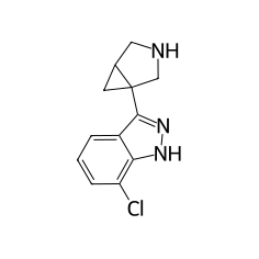 Clc1cccc2c(C34CNCC3C4)n[nH]c12